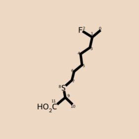 CC(F)CCCCCSC(C)C(=O)O